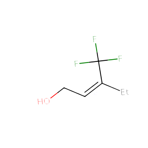 CC/C(=C/CO)C(F)(F)F